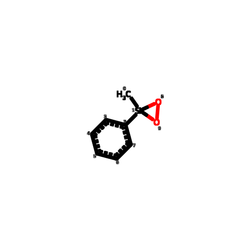 C[Si]1(c2ccccc2)OO1